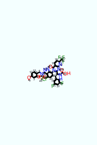 COc1ccc(CN(c2nn(C)c3c(-n4c([C@H](Cc5cc(F)cc(F)c5)NC(=O)O)nc5nc(C(F)(F)F)ccc5c4=O)ccc(Cl)c23)S(C)(=O)=O)cc1